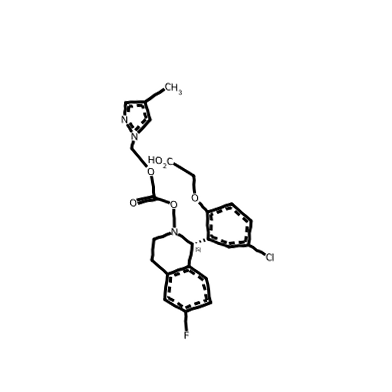 Cc1cnn(COC(=O)ON2CCc3cc(F)ccc3[C@H]2c2cc(Cl)ccc2OCC(=O)O)c1